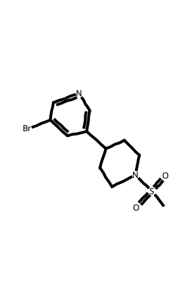 CS(=O)(=O)N1CCC(c2cncc(Br)c2)CC1